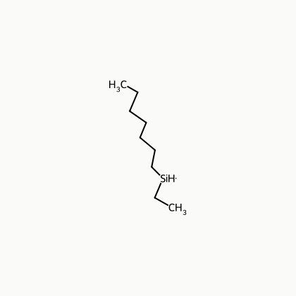 CCCCCCC[SiH]CC